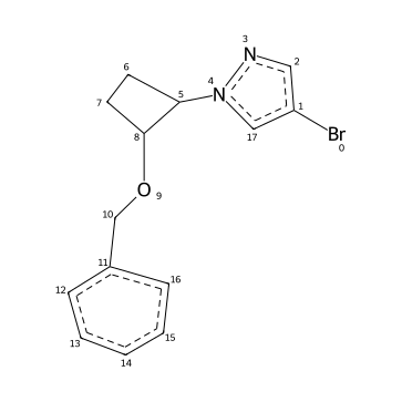 Brc1cnn(C2CCC2OCc2ccccc2)c1